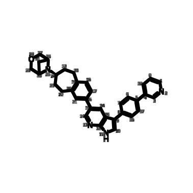 c1cncc(-c2ccc(-c3c[nH]c4ncc(-c5ccc6c(c5)CC[C@@H](N5C7COCC5C7)CC6)cc34)cc2)c1